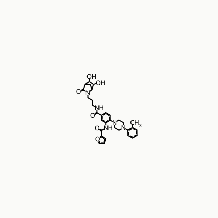 Cc1ccccc1N1CCN(c2ccc(C(=O)NCCCN3C(=O)C4CC3C(O)C4O)cc2NC(=O)c2ccco2)CC1